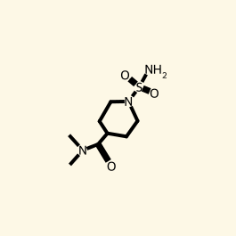 CN(C)C(=O)C1CCN(S(N)(=O)=O)CC1